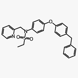 CCS(=O)(=O)N(Cc1ccccn1)c1ccc(Oc2ccc(Cc3ccccc3)cc2)cc1